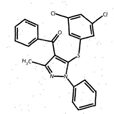 Cc1nn(-c2ccccc2)c(Sc2cc(Cl)cc(Cl)c2)c1C(=O)c1ccccc1